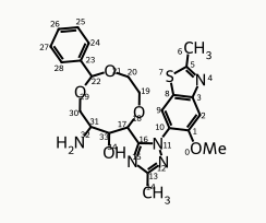 COc1cc2nc(C)sc2cc1-n1nc(C)nc1C1OCCOC(c2ccccc2)OCC(N)C1O